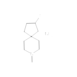 CN1CCC2(CCC(F)[C@@H]2N)CC1